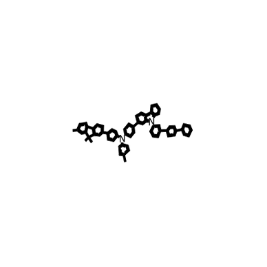 Cc1ccc(N(c2ccc(-c3ccc4c(c3)C(C)(C)c3cc(C)ccc3-4)cc2)c2ccc(-c3ccc4c5ccccc5n(-c5cccc(-c6ccc(-c7ccccc7)cc6)c5)c4c3)cc2)cc1